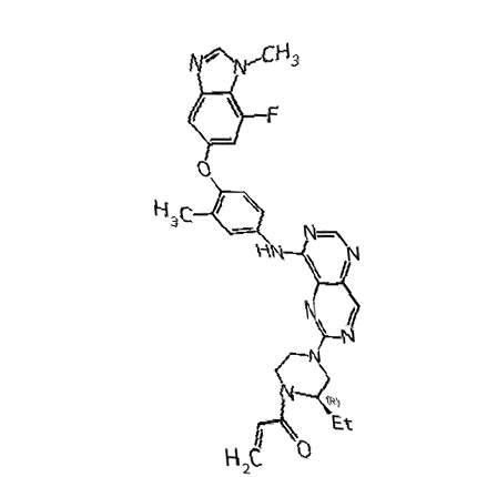 C=CC(=O)N1CCN(c2ncc3ncnc(Nc4ccc(Oc5cc(F)c6c(c5)ncn6C)c(C)c4)c3n2)C[C@H]1CC